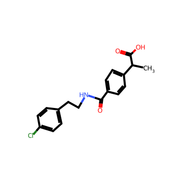 CC(C(=O)O)c1ccc(C(=O)NCCc2ccc(Cl)cc2)cc1